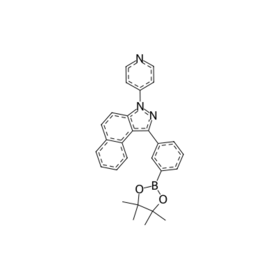 CC1(C)OB(c2cccc(-c3nn(-c4ccncc4)c4ccc5ccccc5c34)c2)OC1(C)C